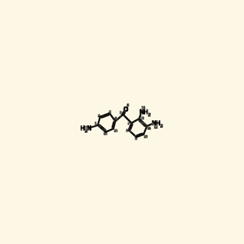 Nc1ccc(C(=O)c2cccc(N)c2N)cc1